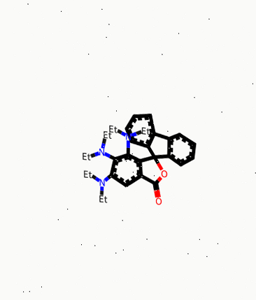 CCN(CC)c1cc2c(c(N(CC)CC)c1N(CC)CC)C1(OC2=O)c2ccccc2-c2ccccc21